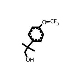 CC(C)(CO)c1ccc(OC(F)(F)F)cc1